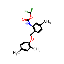 Cc1ccc(OCc2ccc(C)cc2NC(=O)OC(F)F)c(C)c1